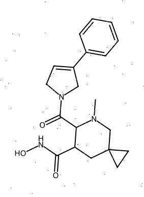 CN1CC2(CC2)CC(C(=O)NO)C1C(=O)N1CC=C(c2ccccc2)C1